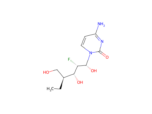 CC[C@@H](CO)[C@@H](O)[C@H](F)[C@@H](O)n1ccc(N)nc1=O